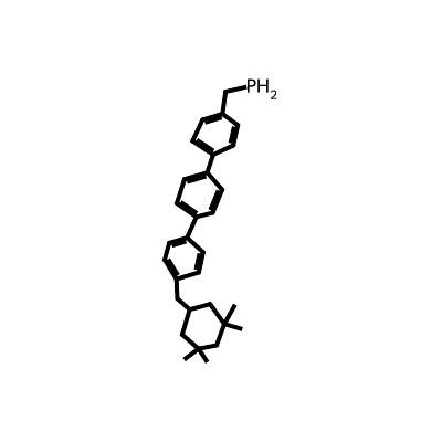 CC1(C)CC(Cc2ccc(-c3ccc(-c4ccc(CP)cc4)cc3)cc2)CC(C)(C)C1